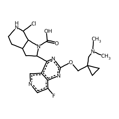 CN(C)CC1(COc2nc(C3CC4CCNC(Cl)C4N3C(=O)O)c3cncc(F)c3n2)CC1